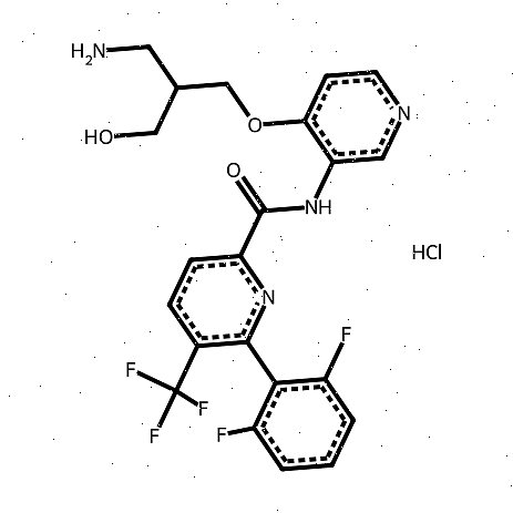 Cl.NCC(CO)COc1ccncc1NC(=O)c1ccc(C(F)(F)F)c(-c2c(F)cccc2F)n1